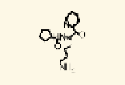 NCCCC[C@H](NC(=O)C1CCCC1)C(=O)c1ccccn1